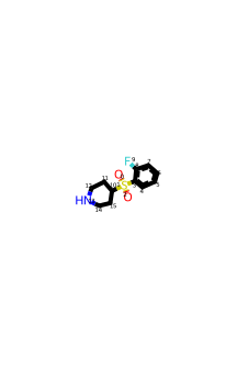 O=S(=O)(c1ccccc1F)C1CCNCC1